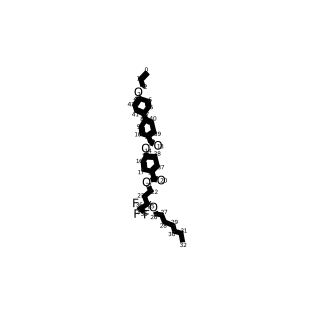 C=CCOc1ccc(-c2ccc(C(=O)Oc3ccc(C(=O)OCCC(OCCCCCCC)C(F)(F)F)cc3)cc2)cc1